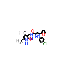 Cc1cc(C)c(CNC(=O)c2cc(-c3ccco3)n(-c3ccc(Cl)cc3)n2)c(=O)[nH]1